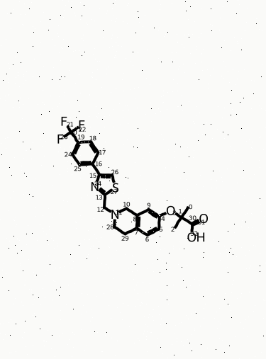 CC(C)(Oc1ccc2c(c1)CN(Cc1nc(-c3ccc(C(F)(F)F)cc3)cs1)CC2)C(=O)O